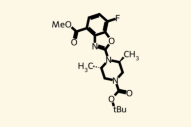 COC(=O)c1ccc(F)c2oc(N3[C@@H](C)CN(C(=O)OC(C)(C)C)C[C@@H]3C)nc12